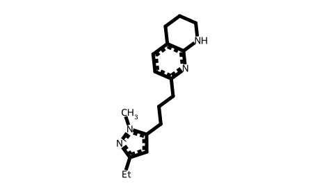 CCc1cc(CCCc2ccc3c(n2)NCCC3)n(C)n1